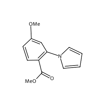 COC(=O)c1ccc(OC)cc1-n1cccc1